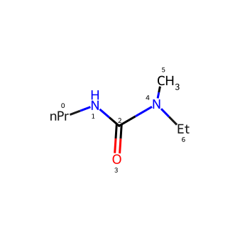 CCCNC(=O)N(C)CC